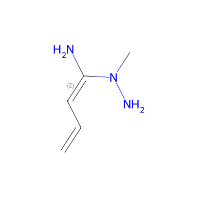 C=C/C=C(/N)N(C)N